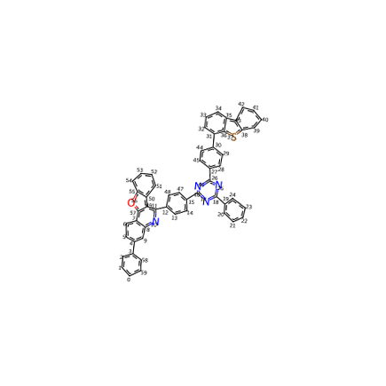 c1ccc(-c2ccc3c(c2)nc(-c2ccc(-c4nc(-c5ccccc5)nc(-c5ccc(-c6cccc7c6sc6ccccc67)cc5)n4)cc2)c2c4ccccc4oc32)cc1